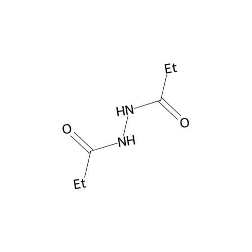 CCC(=O)NNC(=O)CC